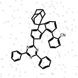 N#Cc1ccccc1-c1cccc2c1-c1cc(-c3nc(-c4ccccc4)nc(-c4ccccc4)n3)ccc1C21C2CC3CC(C2)CC1C3